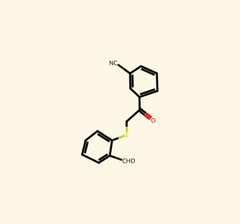 N#Cc1cccc(C(=O)CSc2ccccc2C=O)c1